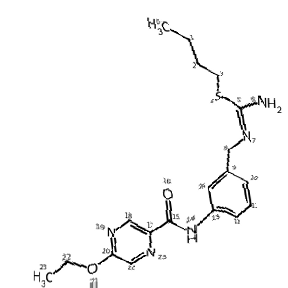 CCCCS/C(N)=N\Cc1cccc(NC(=O)c2cnc(OCC)cn2)c1